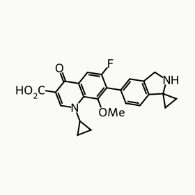 COc1c(-c2ccc3c(c2)CNC32CC2)c(F)cc2c(=O)c(C(=O)O)cn(C3CC3)c12